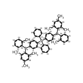 Cc1cc(C)c(B(c2ccc([Si](c3ccccc3)(c3ccccc3)c3ccc(B(c4ccccc4C)c4c(C)cc(C)cc4C)cc3)cc2)c2ccccc2C)c(C)c1